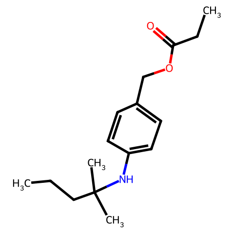 CCCC(C)(C)Nc1ccc(COC(=O)CC)cc1